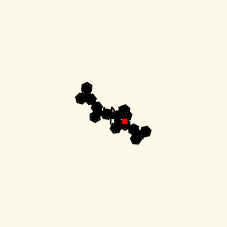 c1ccc(-n2c3ccccc3c3cc(-c4ccc5c(c4)c4ccccc4n5-c4ccc(-c5nc6c(c(-n7c8ccccc8c8cc(-c9ccc%10c(c9)c9ccccc9n%10-c9ccccc9)ccc87)n5)-c5cccc7cccc-6c57)cc4)ccc32)cc1